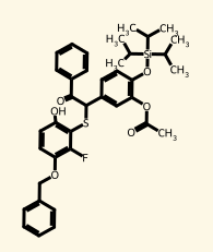 CC(=O)Oc1cc(C(Sc2c(O)ccc(OCc3ccccc3)c2F)C(=O)c2ccccc2)ccc1O[Si](C(C)C)(C(C)C)C(C)C